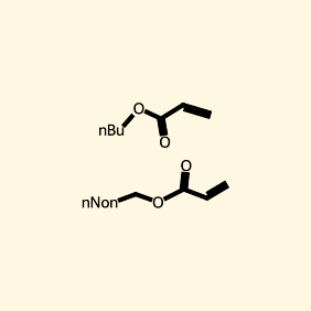 C=CC(=O)OCCCC.C=CC(=O)OCCCCCCCCCC